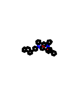 c1ccc(-c2ccc(-c3ccc(N(c4ccc(-c5cccc6c5ccc5ccccc56)cc4)c4ccccc4-c4ccc5c(c4)c4ccccc4n5-c4ccccc4)cc3)cc2)cc1